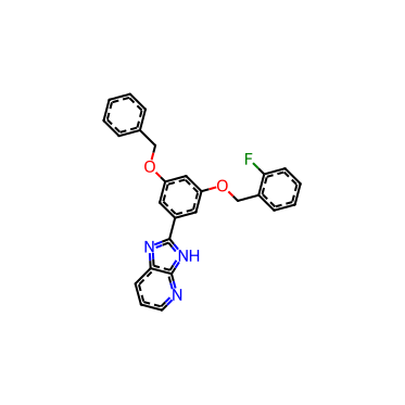 Fc1ccccc1COc1cc(OCc2ccccc2)cc(-c2nc3cccnc3[nH]2)c1